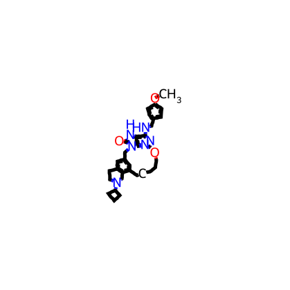 COc1ccc(CNc2nc3nc4c2[nH]c(=O)n4Cc2cc(c4c(c2)CCN(C2CCC2)C4)CCCCCO3)cc1